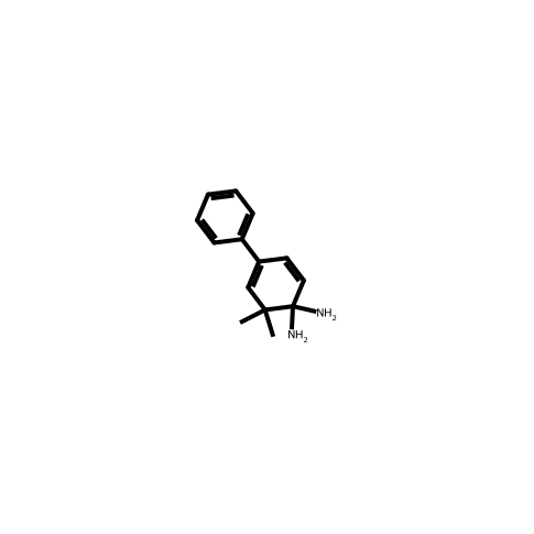 CC1(C)C=C(c2ccccc2)C=CC1(N)N